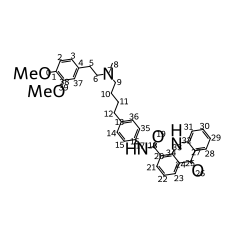 COc1ccc(CCN(C)CCCCc2ccc(NC(=O)c3cccc4c(=O)c5ccccc5[nH]c34)cc2)cc1OC